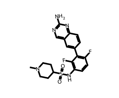 CN1CCC(S(=O)(=O)Nc2ccc(F)c(-c3ccc4nc(N)ncc4c3)c2F)CC1